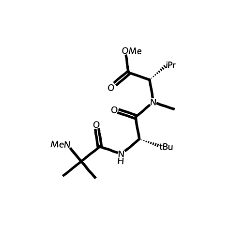 CNC(C)(C)C(=O)N[C@H](C(=O)N(C)[C@H](C(=O)OC)C(C)C)C(C)(C)C